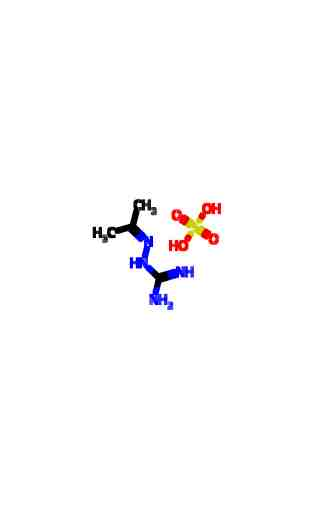 CC(C)=NNC(=N)N.O=S(=O)(O)O